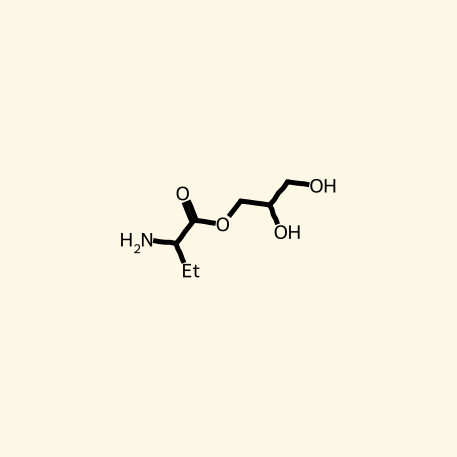 CCC(N)C(=O)OCC(O)CO